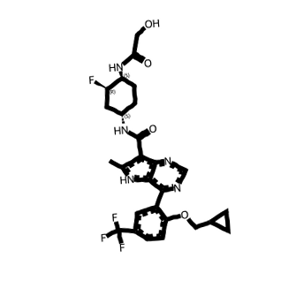 Cc1[nH]c2c(-c3cc(C(F)(F)F)ccc3OCC3CC3)ncnc2c1C(=O)N[C@H]1CC[C@H](NC(=O)CO)[C@H](F)C1